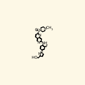 CN1CCN([S+]([O-])c2ccc3cnc(Nc4ccc(-n5ccc(CO)n5)cc4F)cc3n2)CC1